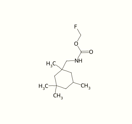 CC1CC(C)(C)CC(C)(CNC(=O)OCF)C1